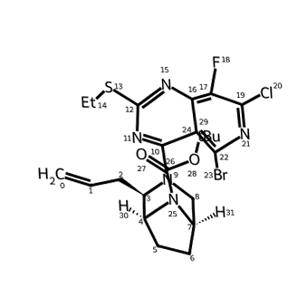 C=CC[C@@H]1[C@@H]2CC[C@H](CN1c1nc(SCC)nc3c(F)c(Cl)nc(Br)c13)N2C(=O)OC(C)(C)C